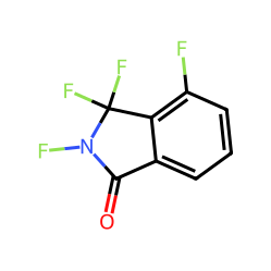 O=C1c2cccc(F)c2C(F)(F)N1F